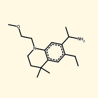 CCc1cc2c(cc1C(C)N)N(CCOC)CCC2(C)C